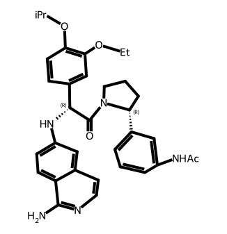 CCOc1cc([C@@H](Nc2ccc3c(N)nccc3c2)C(=O)N2CCC[C@@H]2c2cccc(NC(C)=O)c2)ccc1OC(C)C